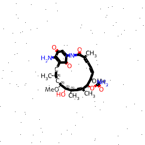 CO[C@@H]1C=CC=C(C)C(=O)NC2=CC(=O)C(N)=C(C[C@@H](C)C[C@@H](OC)[C@@H](O)[C@@H](C)C=C(C)[C@@H]1OC(N)=O)C2=O